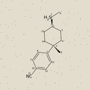 C[SiH2][C@H]1CC[C@](C)(c2ccc(C#N)cc2)CC1